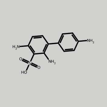 Nc1ccc(-c2ccc(N)c(S(=O)(=O)O)c2N)cc1